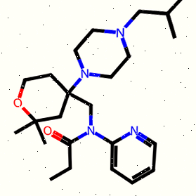 CCC(=O)N(CC1(N2CCN(CC(C)C)CC2)CCOC(C)(C)C1)c1ccccn1